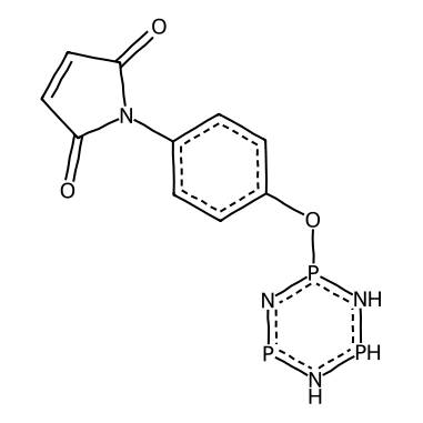 O=C1C=CC(=O)N1c1ccc(Op2np[nH][pH][nH]2)cc1